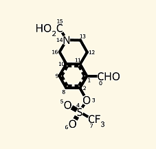 O=Cc1c(OS(=O)(=O)C(F)(F)F)ccc2c1CCN(C(=O)O)C2